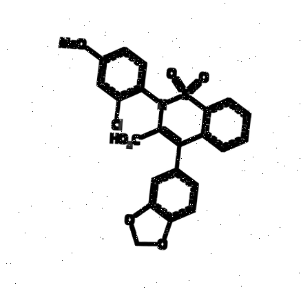 COc1ccc(N2C(C(=O)O)=C(c3ccc4c(c3)OCO4)c3ccccc3S2(=O)=O)c(Cl)c1